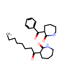 CCCCCCCC(=O)C1CCCCNC1=O.O=C1NCCCCC1C(=O)c1ccccc1